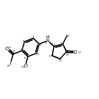 CC1=C(Nc2ccc(C(=O)I)c(Cl)c2)CCC1=O